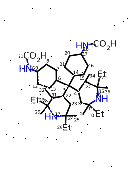 CCC1(C)CC(C(C2CCC(NC(=O)O)CC2)(C2CCC(NC(=O)O)CC2)C2CC(C)(CC)NC(C)(CC)C2C)C(C)C(C)(CC)N1